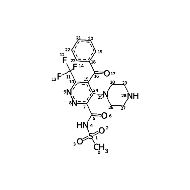 CS(=O)(=O)NC(=O)c1nnc(C(F)(F)F)c(C(=O)c2ccccc2)c1N1CCNCC1